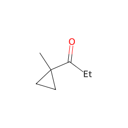 CCC(=O)C1(C)CC1